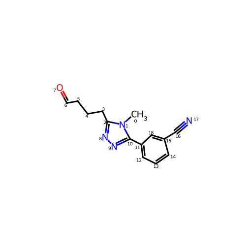 Cn1c(CCCC=O)nnc1-c1cccc(C#N)c1